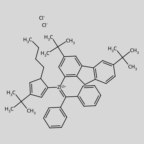 CCCCC1C=C(C(C)(C)C)C=[C]1[Zr+2](=[C](c1ccccc1)c1ccccc1)[c]1cc(C(C)(C)C)cc2c1Cc1ccc(C(C)(C)C)cc1-2.[Cl-].[Cl-]